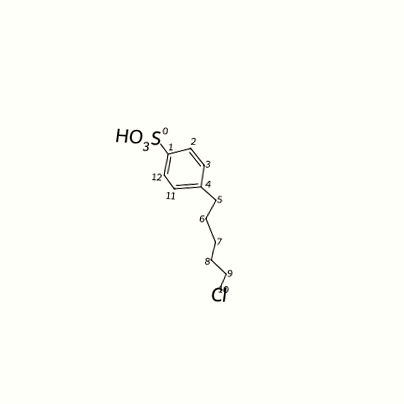 O=S(=O)(O)c1ccc(CCCCCCl)cc1